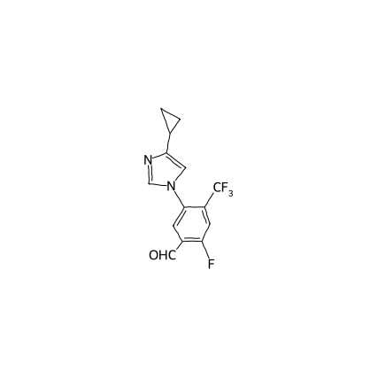 O=Cc1cc(-n2cnc(C3CC3)c2)c(C(F)(F)F)cc1F